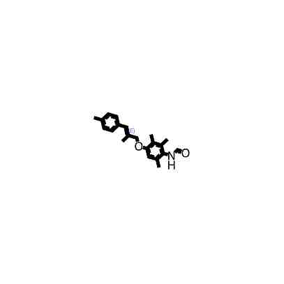 C/C(=C\c1ccc(C)cc1)COc1cc(C)c(NC=O)c(C)c1C